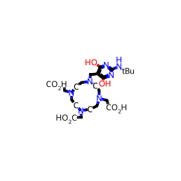 CC(C)(C)Nc1nc(O)c(CN2CCN(CC(=O)O)CCN(CC(=O)O)CCN(CC(=O)O)CC2)c(O)n1